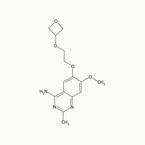 COc1cc2nc(C)nc(N)c2cc1OCCOC1COC1